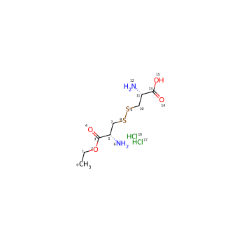 CCOC(=O)[C@@H](N)CSSC[C@H](N)C(=O)O.Cl.Cl